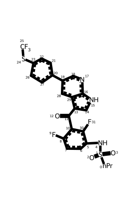 CCCS(=O)(=O)Nc1ccc(F)c(C(=O)c2c[nH]c3ncc(-c4ccc(SC(F)(F)F)cc4)cc23)c1F